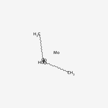 CCCCCCCCCCCCCCCCCCOP(=O)(O)OCCCCCCCCCCCCCCCCCC.[Mo]